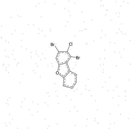 Clc1c(Br)cc2oc3ccccc3c2c1Br